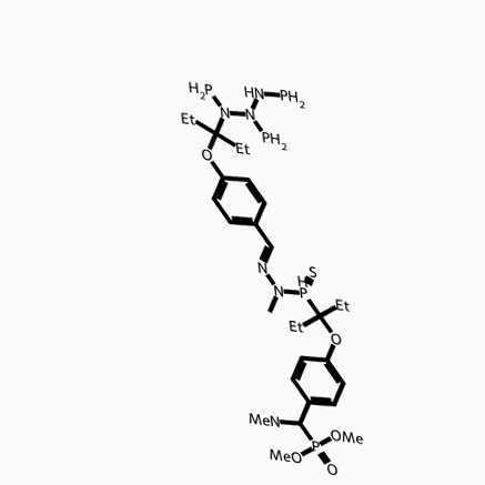 CCC(CC)(Oc1ccc(/C=N/N(C)[PH](=S)C(CC)(CC)Oc2ccc(C(NC)P(=O)(OC)OC)cc2)cc1)N(P)N(P)NP